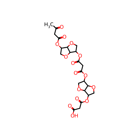 CC(=O)CC(=O)OC1COC2C(OC(=O)CC(=O)OC3COC4C(OC(=O)CC(=O)O)COC34)COC12